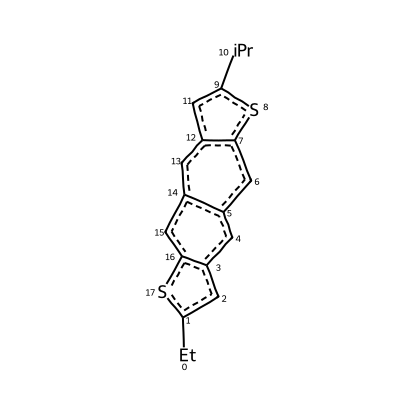 CCc1cc2cc3cc4sc(C(C)C)cc4cc3cc2s1